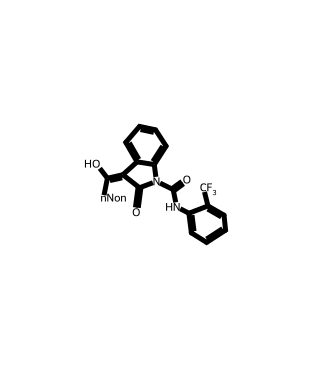 CCCCCCCCCC(O)=C1C(=O)N(C(=O)Nc2ccccc2C(F)(F)F)c2ccccc21